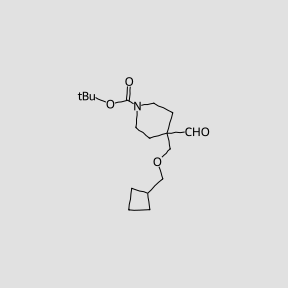 CC(C)(C)OC(=O)N1CCC(C=O)(COCC2CCC2)CC1